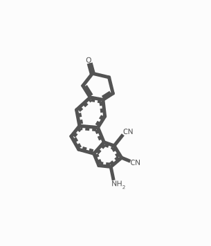 N#Cc1c(N)cc2ccc3cc4c(cc3c2c1C#N)=CCC(=O)C=4